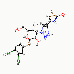 COC1C(Sc2ccc(Cl)c(Cl)c2)OC(CO)C(O)C1n1cc(-c2csc(O)n2)nn1